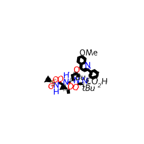 C=C[C@@H]1C[C@]1(NC(=O)[C@@H]1C[C@@H](Oc2cc(-c3ccccc3)nc3cc(OC)ccc23)CN1C(=O)[C@@H](N(C(=O)O)C(C)(C)C)C(C)(C)C)C(=O)NS(=O)(=O)C1CC1